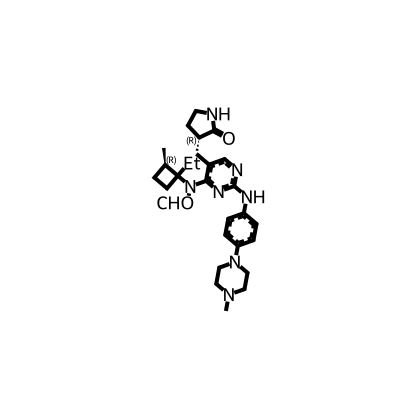 CCC1(N(C=O)c2nc(Nc3ccc(N4CCN(C)CC4)cc3)ncc2C[C@@H]2CCNC2=O)CC[C@H]1C